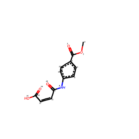 COC(=O)c1ccc(NC(=O)/C=C\C(=O)O)cc1